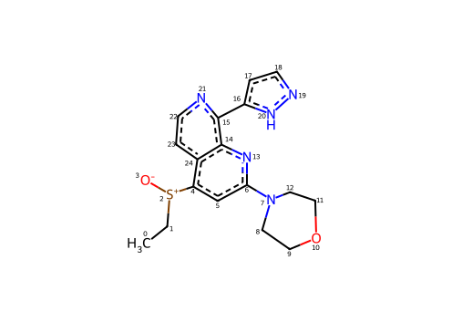 CC[S+]([O-])c1cc(N2CCOCC2)nc2c(-c3ccn[nH]3)nccc12